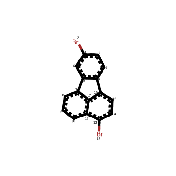 Brc1ccc2c(c1)-c1cccc3c(Br)ccc-2c13